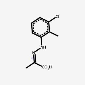 C/C(=N/Nc1cccc(Cl)c1C)C(=O)O